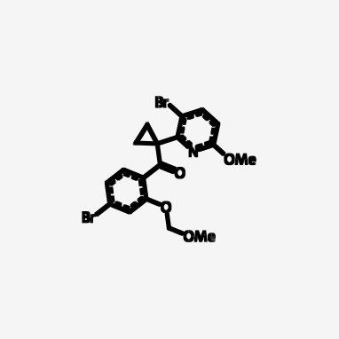 COCOc1cc(Br)ccc1C(=O)C1(c2nc(OC)ccc2Br)CC1